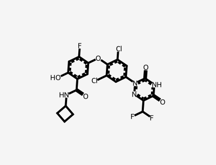 O=C(NC1CCC1)c1cc(Oc2c(Cl)cc(-n3nc(C(F)F)c(=O)[nH]c3=O)cc2Cl)c(F)cc1O